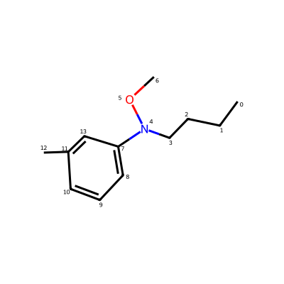 CCCCN(OC)c1cccc(C)c1